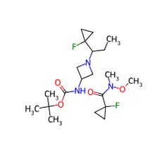 CCC(N1CC(NC(=O)OC(C)(C)C)C1)C1(F)CC1.CON(C)C(=O)C1(F)CC1